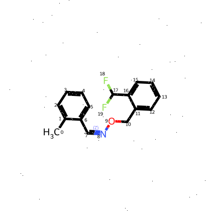 Cc1ccccc1/[C]=N\OCc1ccccc1C(F)F